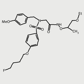 CCOCC(C)ONC(=O)CN(Cc1ccc(OC)cc1)S(=O)(=O)c1ccc(OCCCCF)cc1